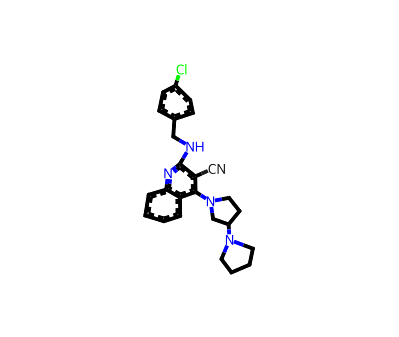 N#Cc1c(NCc2ccc(Cl)cc2)nc2ccccc2c1N1CCC(N2CCCC2)C1